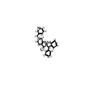 O=c1c2c([nH]n1C(c1ccccc1)c1ccccc1)CN(Cc1cccnc1)CC2